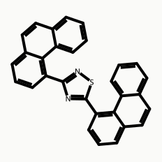 c1ccc2c(c1)ccc1cccc(-c3nsc(-c4cccc5ccc6ccccc6c45)n3)c12